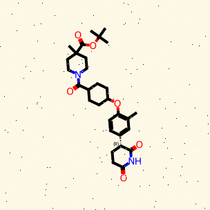 Cc1cc([C@H]2CCC(=O)NC2=O)ccc1OC1CCC(C(=O)N2CCC(C)(C(=O)OC(C)(C)C)CC2)CC1